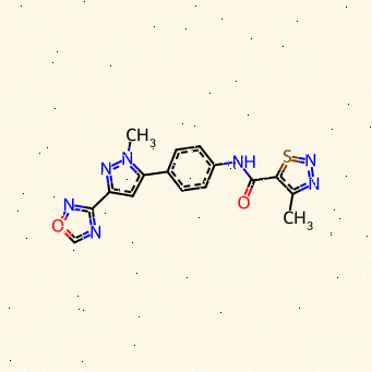 Cc1nnsc1C(=O)Nc1ccc(-c2cc(-c3ncon3)nn2C)cc1